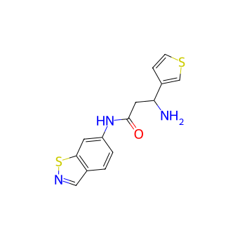 NC(CC(=O)Nc1ccc2cnsc2c1)c1ccsc1